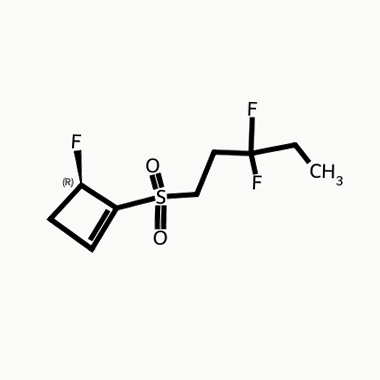 CCC(F)(F)CCS(=O)(=O)C1=CC[C@H]1F